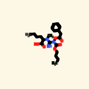 CCCCOC(=O)N(OC(=O)Cc1ccccc1)C(=N)N(C)C(CCCC)C(=O)O